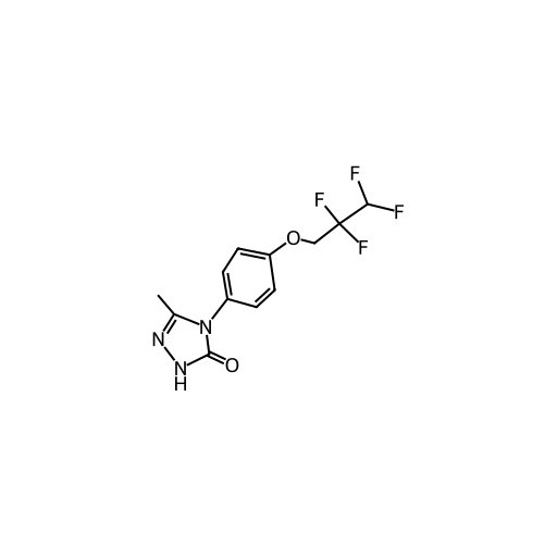 Cc1n[nH]c(=O)n1-c1ccc(OCC(F)(F)C(F)F)cc1